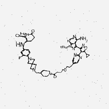 CC(C)(C)n1nc(-c2noc(C3CC3)c2-c2ncc(CCOCCCC(=O)N3CCC(CN4CC5(C4)CN(c4ccc(NC6CCC(=O)NC6=O)cc4F)C5)CC3)cn2)c2c(N)ncnc21